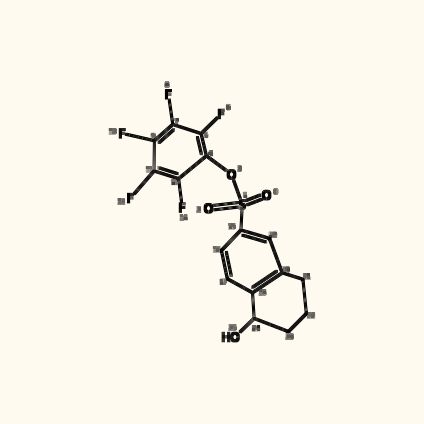 O=S(=O)(Oc1c(F)c(F)c(F)c(F)c1F)c1ccc2c(c1)CCCC2O